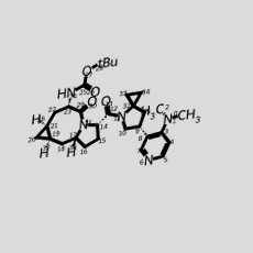 CN(C)c1ccncc1[C@@H]1CN(C(=O)[C@@H]2CC[C@@H]3C[C@H]4C[C@H]4C[C@H](NC(=O)OC(C)(C)C)C(=O)N32)C2(CC2)C1